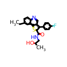 CCc1ccc2ncc3c(-c4ccc(F)cc4)c(C(=O)NCC(C)O)sc3c2c1